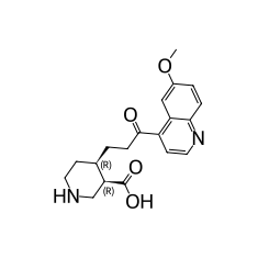 COc1ccc2nccc(C(=O)CC[C@@H]3CCNC[C@@H]3C(=O)O)c2c1